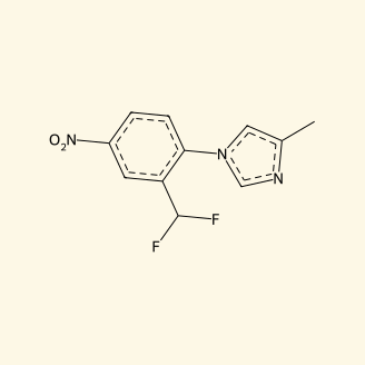 Cc1cn(-c2ccc([N+](=O)[O-])cc2C(F)F)cn1